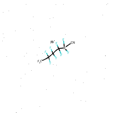 N#C[B-](F)(F)C(F)(F)C(F)(F)C(F)(F)C(F)(F)F.[Rb+]